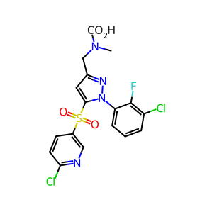 CN(Cc1cc(S(=O)(=O)c2ccc(Cl)nc2)n(-c2cccc(Cl)c2F)n1)C(=O)O